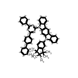 CC1(C)c2ccc(-n3c4ccccc4c4cc5c6ccccc6n(-c6nc(-c7ccccc7)nc(-c7ccc(-c8ccccc8)cc7)n6)c5cc43)cc2C(C)(C)C1(C)C